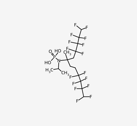 CC(C)N(C(C)(CCC(F)(F)C(F)(F)C(F)(F)C(F)F)CC(F)(F)C(F)(F)C(F)(F)C(F)F)P(=O)(O)O